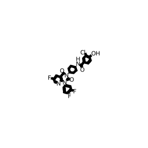 O=C(N[C@H]1CC[C@@H](n2c(=O)c3cc(F)cnc3n(-c3ccc(F)c(F)c3)c2=O)CC1)c1ccc(O)c(Cl)c1